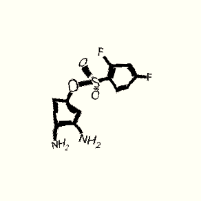 Nc1ccc(OS(=O)(=O)c2ccc(F)cc2F)cc1N